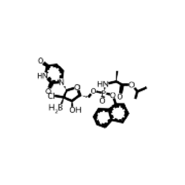 B[C@]1(Cl)[C@H](O)[C@@H](CO[P@@](=O)(N[C@@H](C)C(=O)OC(C)C)Oc2cccc3ccccc23)O[C@H]1n1ccc(=O)[nH]c1=O